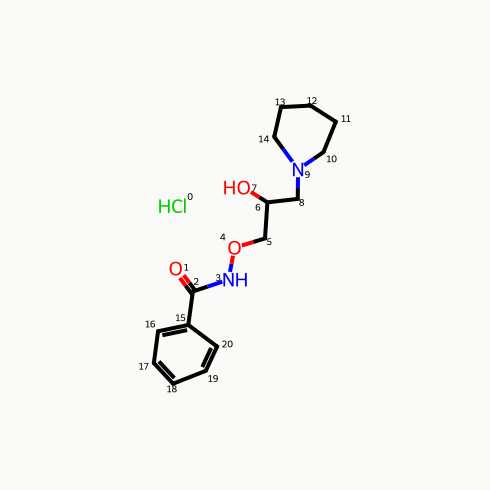 Cl.O=C(NOCC(O)CN1CCCCC1)c1ccccc1